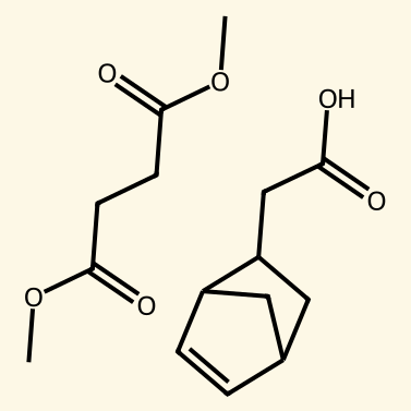 COC(=O)CCC(=O)OC.O=C(O)CC1CC2C=CC1C2